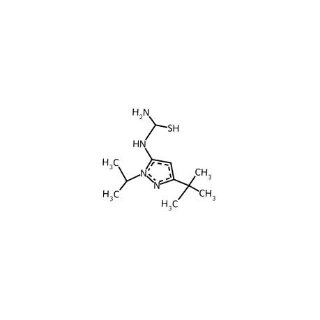 CC(C)n1nc(C(C)(C)C)cc1NC(N)S